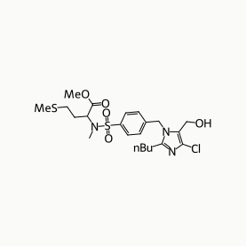 CCCCc1nc(Cl)c(CO)n1Cc1ccc(S(=O)(=O)N(C)C(CCSC)C(=O)OC)cc1